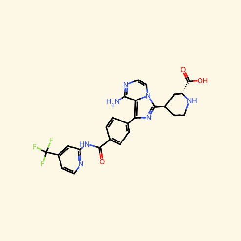 Nc1nccn2c([C@@H]3CCN[C@@H](C(=O)O)C3)nc(-c3ccc(C(=O)Nc4cc(C(F)(F)F)ccn4)cc3)c12